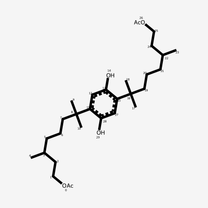 CC(=O)OCCC(C)CCCC(C)(C)c1cc(O)c(C(C)(C)CCCC(C)CCOC(C)=O)cc1O